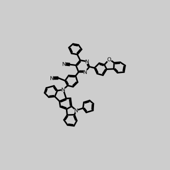 N#Cc1cc(-c2nc(-c3ccc4c(c3)oc3ccccc34)nc(-c3ccccc3)c2C#N)ccc1-n1c2ccccc2c2cc3c4ccccc4n(-c4ccccc4)c3cc21